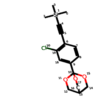 C[Si](C)(C)C#Cc1ccc(C23OCC(CO2)CO3)cc1Cl